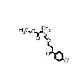 CCOC(=O)[C@H](C)N=COCCC(=O)c1ccc(Cl)cc1